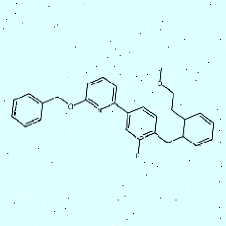 COCCC1C=CC=CC1Cc1ccc(-c2cccc(OCc3ccccc3)n2)cc1F